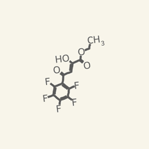 CCOC(=O)C(O)=CC(=O)c1c(F)c(F)c(F)c(F)c1F